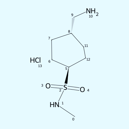 CNS(=O)(=O)[C@H]1CC[C@H](CN)CC1.Cl